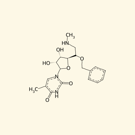 CNCC(OCc1ccccc1)[C@H]1OC(n2cc(C)c(=O)[nH]c2=O)[C@H](O)[C@@H]1O